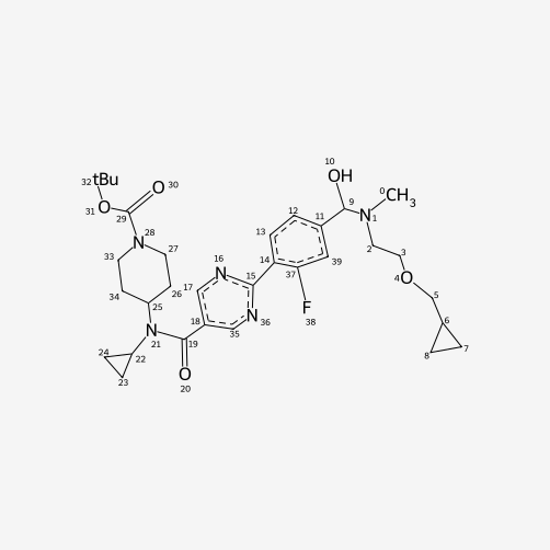 CN(CCOCC1CC1)C(O)c1ccc(-c2ncc(C(=O)N(C3CC3)C3CCN(C(=O)OC(C)(C)C)CC3)cn2)c(F)c1